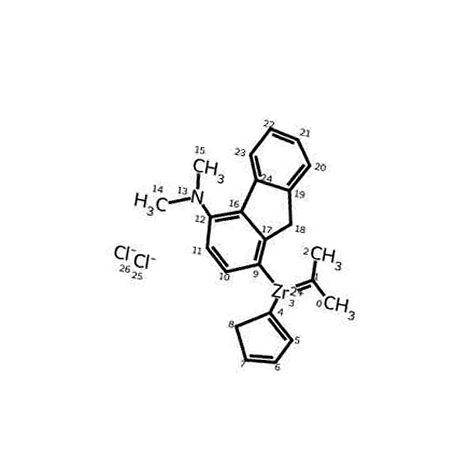 C[C](C)=[Zr+2]([C]1=CC=CC1)[c]1ccc(N(C)C)c2c1Cc1ccccc1-2.[Cl-].[Cl-]